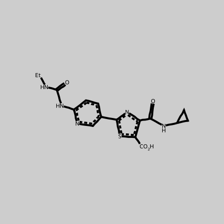 CCNC(=O)Nc1ccc(-c2nc(C(=O)NC3CC3)c(C(=O)O)s2)cn1